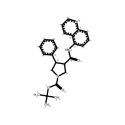 CC(C)(C)OC(=O)N1CC(C(=O)Nc2cccc3ncccc23)C(c2ccccc2)C1